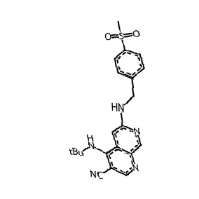 CC(C)(C)Nc1c(C#N)cnc2cnc(NCc3ccc(S(C)(=O)=O)cc3)cc12